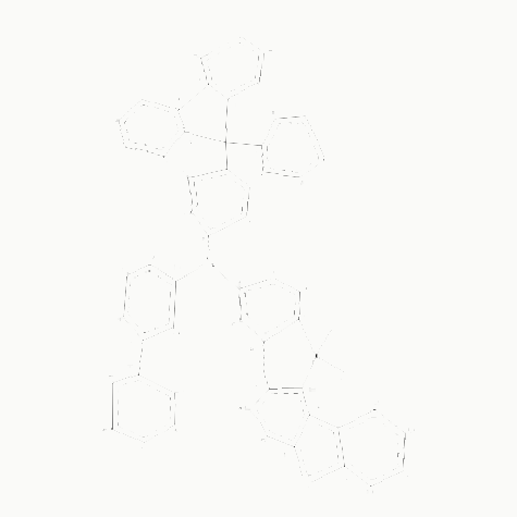 CC1(C)c2ccc(N(c3ccc(C4(c5ccccc5)c5ccccc5-c5ccccc54)cc3)c3cccc(-c4ccccc4)c3)cc2-c2ccc3sc4ccccc4c3c21